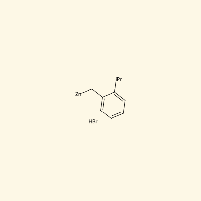 Br.CC(C)c1ccccc1[CH2][Zn]